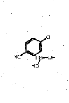 N#Cc1ccc(Cl)cc1.OBO